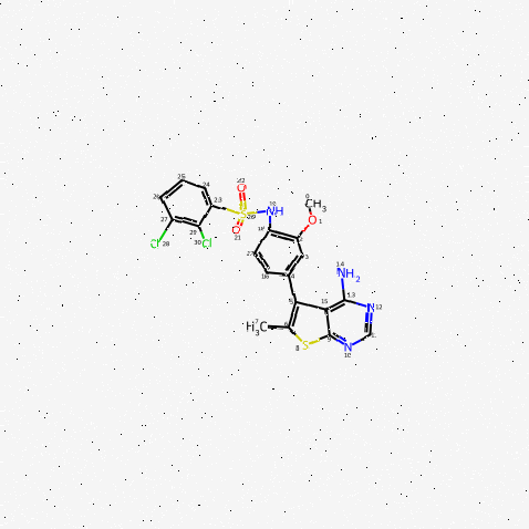 COc1cc(-c2c(C)sc3ncnc(N)c23)ccc1NS(=O)(=O)c1cccc(Cl)c1Cl